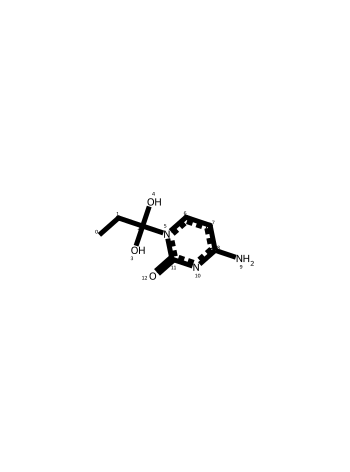 CCC(O)(O)n1ccc(N)nc1=O